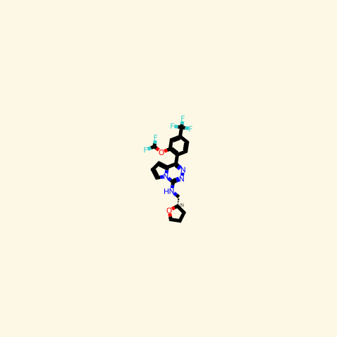 FC(F)Oc1cc(C(F)(F)F)ccc1-c1nnc(NC[C@@H]2CCCO2)n2cccc12